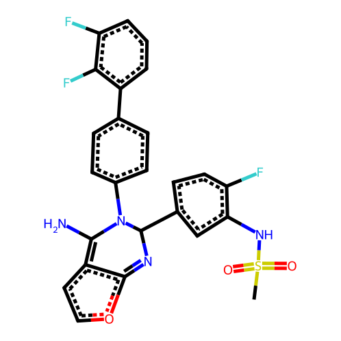 CS(=O)(=O)Nc1cc(C2N=c3occc3=C(N)N2c2ccc(-c3cccc(F)c3F)cc2)ccc1F